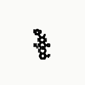 Cc1nc(C(=O)NCc2c(F)cccc2F)c(N)nc1-c1cnco1